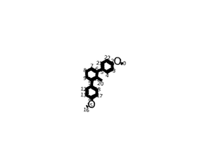 COc1ccc(C2=CC[CH]C(c3ccc(OC)cc3)=C2C)cc1